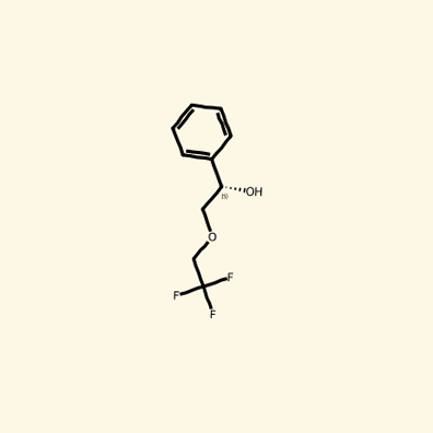 O[C@H](COCC(F)(F)F)c1ccccc1